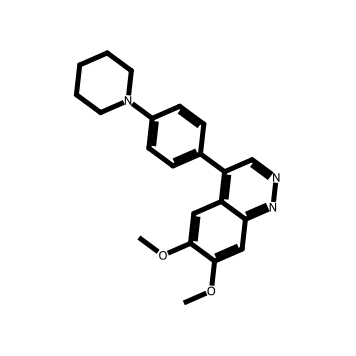 COc1cc2nncc(-c3ccc(N4CCCCC4)cc3)c2cc1OC